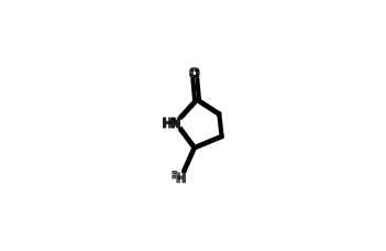 [2H]C1CCC(=O)N1